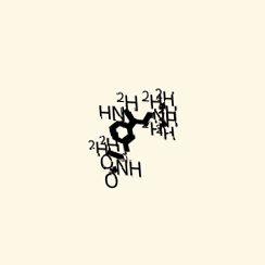 [2H]c1[nH]c2ccc(C[C@@H]3NC(=O)OC3([2H])[2H])cc2c1CCN(C([2H])([2H])[2H])C([2H])([2H])[2H]